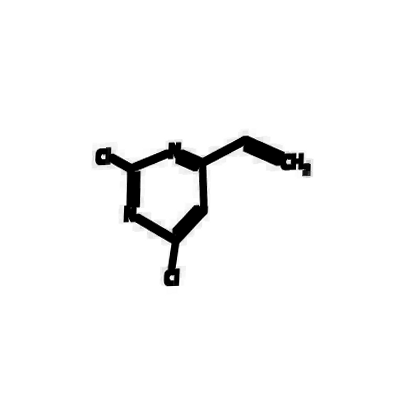 C=Cc1cc(Cl)nc(Cl)n1